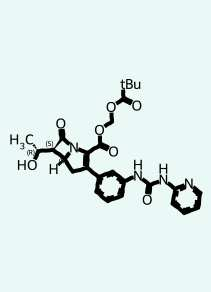 C[C@@H](O)[C@H]1C(=O)N2C(C(=O)OCOC(=O)C(C)(C)C)=C(c3cccc(NC(=O)Nc4ccccn4)c3)C[C@H]12